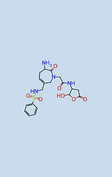 NC1CC=C(CNS(=O)(=O)c2ccccc2)CN(CC(=O)NC2CC(=O)OC2O)C1=O